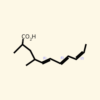 C\C=C/C=C/C=C/C(C)CC(C)C(=O)O